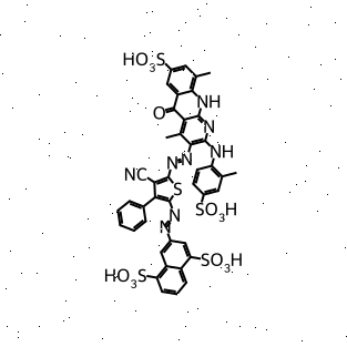 Cc1cc(S(=O)(=O)O)ccc1Nc1nc2[nH]c3c(C)cc(S(=O)(=O)O)cc3c(=O)c2c(C)c1N=Nc1sc(N=Nc2cc(S(=O)(=O)O)c3cccc(S(=O)(=O)O)c3c2)c(-c2ccccc2)c1C#N